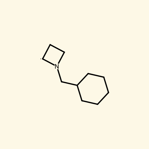 [CH]1CCN1CC1CCCCC1